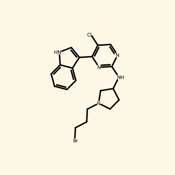 Clc1cnc(NC2CCN(CCCBr)C2)nc1-c1c[nH]c2ccccc12